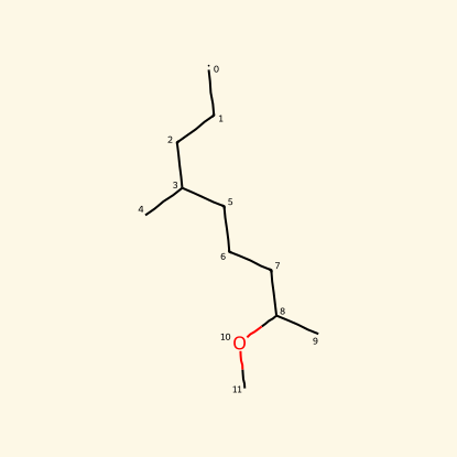 [CH2]CCC(C)CCCC(C)OC